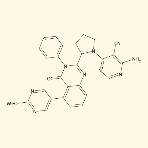 COc1ncc(-c2cccc3nc(C4CCCN4c4ncnc(N)c4C#N)n(-c4ccccc4)c(=O)c23)cn1